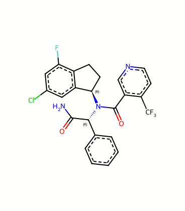 NC(=O)[C@@H](c1ccccc1)N(C(=O)c1cnccc1C(F)(F)F)[C@@H]1CCc2c(F)cc(Cl)cc21